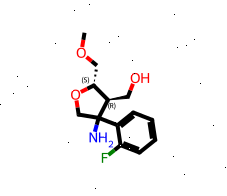 COC[C@H]1OCC(N)(c2ccccc2F)[C@@H]1CO